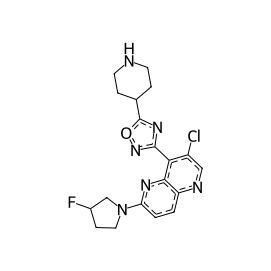 FC1CCN(c2ccc3ncc(Cl)c(-c4noc(C5CCNCC5)n4)c3n2)C1